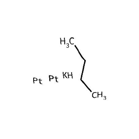 CCCC.[KH].[Pt].[Pt]